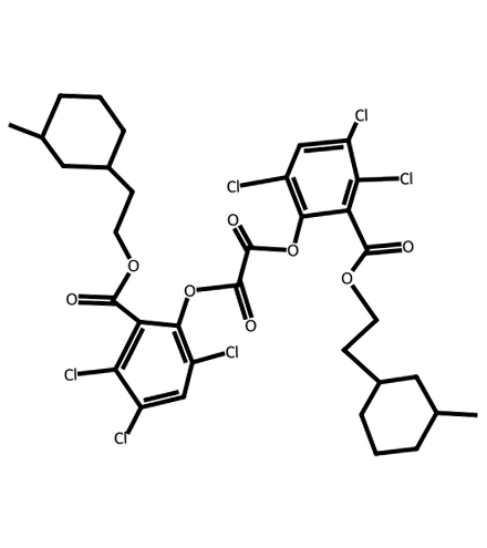 CC1CCCC(CCOC(=O)c2c(Cl)c(Cl)cc(Cl)c2OC(=O)C(=O)Oc2c(Cl)cc(Cl)c(Cl)c2C(=O)OCCC2CCCC(C)C2)C1